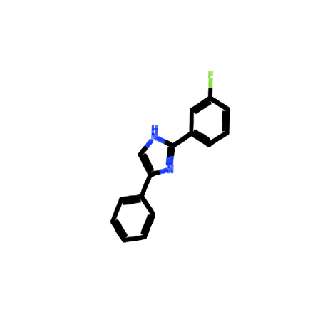 Fc1cccc(-c2nc(-c3ccccc3)c[nH]2)c1